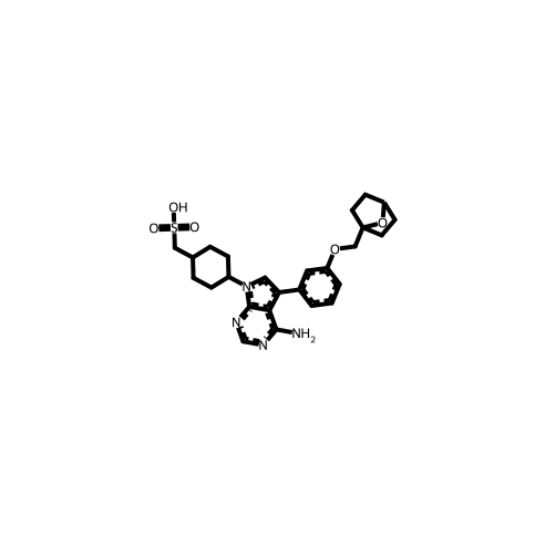 Nc1ncnc2c1c(-c1cccc(OCC34CCC(CC3)O4)c1)cn2C1CCC(CS(=O)(=O)O)CC1